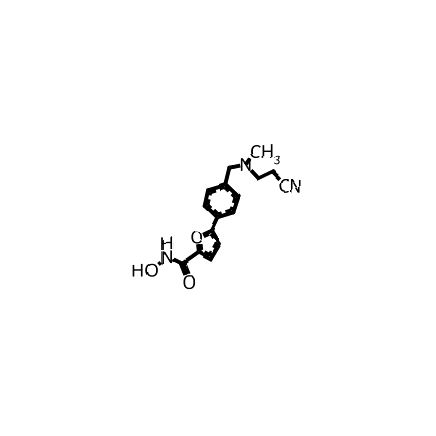 CN(CCC#N)Cc1ccc(-c2ccc(C(=O)NO)o2)cc1